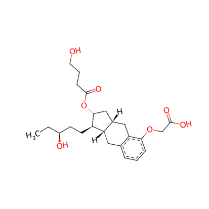 CC[C@H](O)CC[C@@H]1[C@H]2Cc3cccc(OCC(=O)O)c3C[C@H]2C[C@H]1OC(=O)CCCO